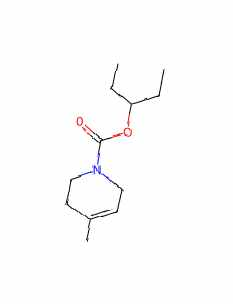 CCC(CC)OC(=O)N1CC=C(C)CC1